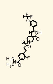 CN(C)C(=O)c1ccc(C=CS(=O)(=O)N2CCC3(CC2)N=C(c2cccc(OC(F)(F)F)c2)NC3=O)c(F)c1